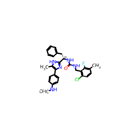 Cc1ccc(Cl)c(CNC(=O)N[C@@H](Cc2ccccc2)c2nc(-c3ccc(NC=O)cc3)c(C)[nH]2)c1F